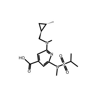 CC(C)S(=O)(=O)N(C)c1cc(C(=O)O)cc(N(C)C[C@H]2C[C@@H]2C)n1